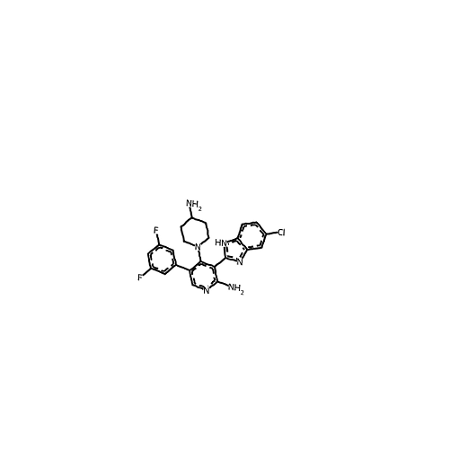 Nc1ncc(-c2cc(F)cc(F)c2)c(N2CCC(N)CC2)c1-c1nc2cc(Cl)ccc2[nH]1